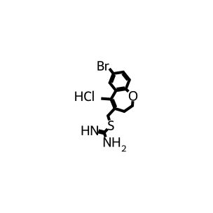 CC1=C(CSC(=N)N)CCOc2ccc(Br)cc21.Cl